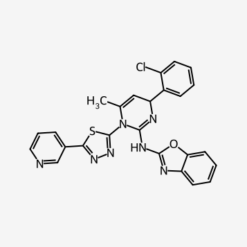 CC1=CC(c2ccccc2Cl)N=C(Nc2nc3ccccc3o2)N1c1nnc(-c2cccnc2)s1